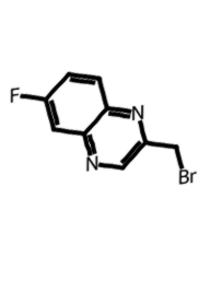 Fc1ccc2nc(CBr)cnc2c1